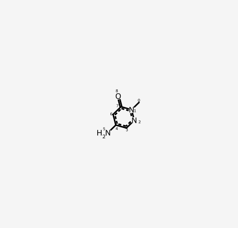 Cn1ncc(N)cc1=O